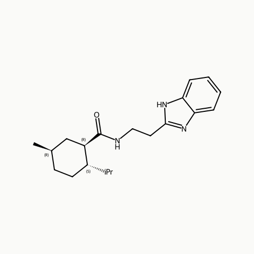 CC(C)[C@@H]1CC[C@@H](C)C[C@H]1C(=O)NCCc1nc2ccccc2[nH]1